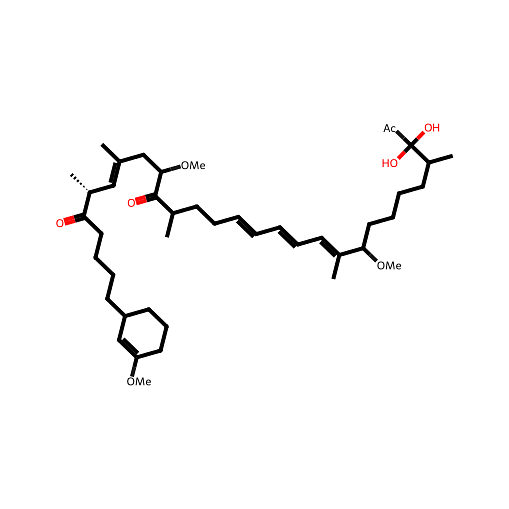 COC1=CC(CCCCC(=O)[C@H](C)/C=C(\C)CC(OC)C(=O)C(C)CC/C=C/C=C/C=C(\C)C(CCCCC(C)C(O)(O)C(C)=O)OC)CCC1